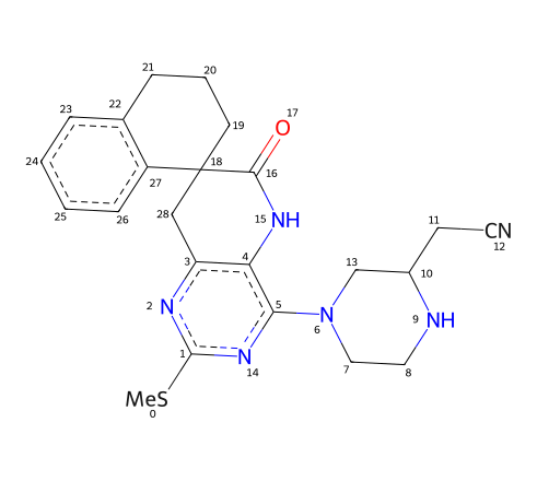 CSc1nc2c(c(N3CCNC(CC#N)C3)n1)NC(=O)C1(CCCc3ccccc31)C2